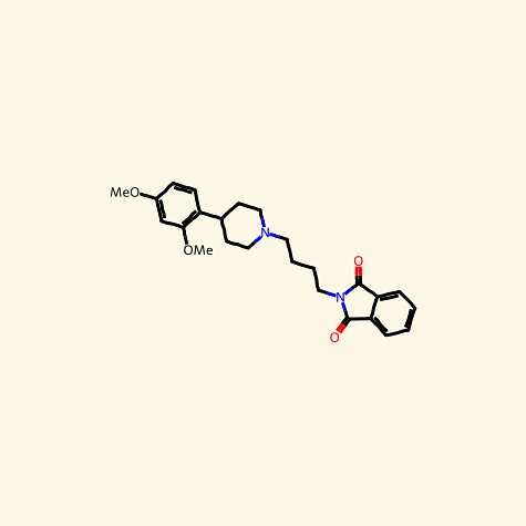 COc1ccc(C2CCN(CCCCN3C(=O)c4ccccc4C3=O)CC2)c(OC)c1